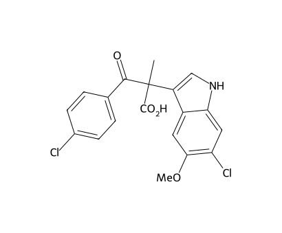 COc1cc2c(C(C)(C(=O)O)C(=O)c3ccc(Cl)cc3)c[nH]c2cc1Cl